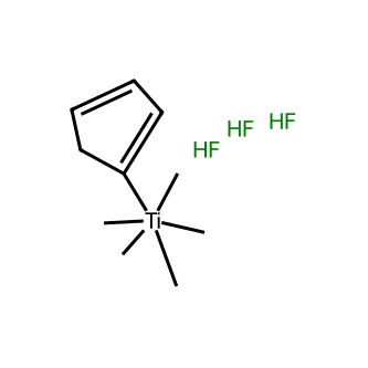 F.F.F.[CH3][Ti]([CH3])([CH3])([CH3])([CH3])[C]1=CC=CC1